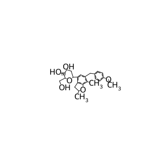 COc1ccc(Cc2cc(C3CC(O)[C@H](O)C(CO)O3)c3c(c2C)OC(C)C3)cc1